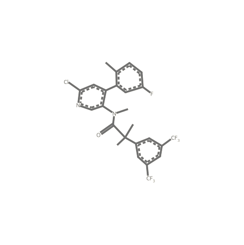 Cc1ccc(F)cc1-c1cc(Cl)ncc1N(C)C(=O)C(C)(C)c1cc(C(F)(F)F)cc(C(F)(F)F)c1